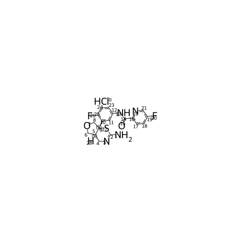 Cl.NC1=NC[C@H]2COC[C@]2(c2cc(NC(=O)c3ccc(F)cn3)ccc2F)S1